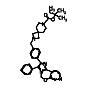 CC(C)(C)OC(=O)N1CCC2(CC1)CN(Cc1ccc(-c3nc4n(c3-c3ccccc3)COc3cnccc3-4)cc1)C2